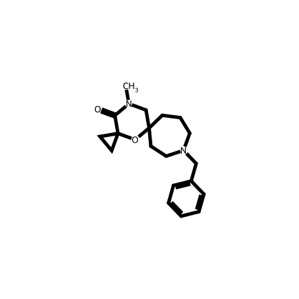 CN1CC2(CCCN(Cc3ccccc3)CC2)OC2(CC2)C1=O